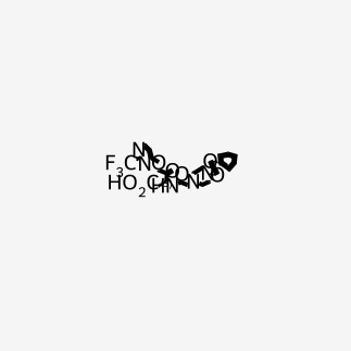 O=C(O)C[C@H](NC(=O)CN1CCN(S(=O)(=O)c2ccccc2)CC1)C(=O)COc1ccnc(C(F)(F)F)n1